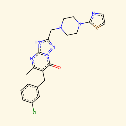 Cc1nc2[nH]c(CN3CCN(c4nccs4)CC3)nn2c(=O)c1Cc1cccc(Cl)c1